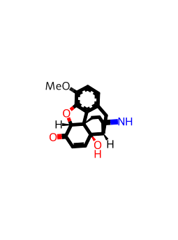 COc1ccc2c3c1O[C@H]1C(=O)C=C[C@@]4(O)[C@@H](C2)C(=N)CC[C@]314